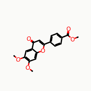 COC(=O)c1ccc(-c2cc(=O)c3cc(OC)c(OC)cc3o2)cc1